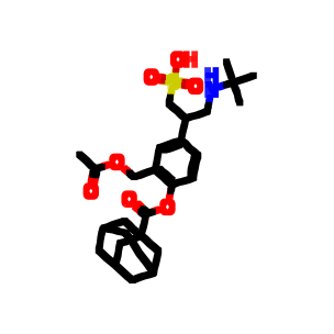 CC(=O)OCc1cc(C(CNC(C)(C)C)CS(=O)(=O)O)ccc1OC(=O)C12CC3CC(CC(C3)C1)C2